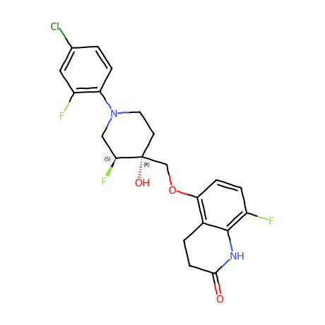 O=C1CCc2c(OC[C@]3(O)CCN(c4ccc(Cl)cc4F)C[C@@H]3F)ccc(F)c2N1